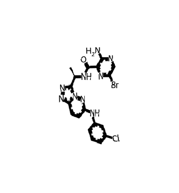 C[C@@H](NC(=O)c1nc(Br)cnc1N)c1nnc2ccc(Nc3cccc(Cl)c3)nn12